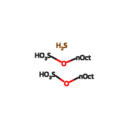 CCCCCCCCOS(=O)(=O)O.CCCCCCCCOS(=O)(=O)O.S